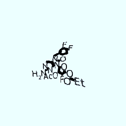 CCC(=O)O[C@H]1O[C@@H](n2c(=O)n(Cc3ccc(F)c(F)c3)c3cnc(N)nc32)[C@H](OC(C)=O)[C@H]1F